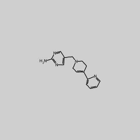 Nc1ncc(CN2CC=C(c3ccccn3)CC2)cn1